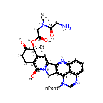 CCCCCN1C=Nc2cccc3nc4c(c1c23)Cn1c-4cc2c(c1=O)CCC(=O)[C@@]2(CC)OC(=O)CN(C)C(=O)CN